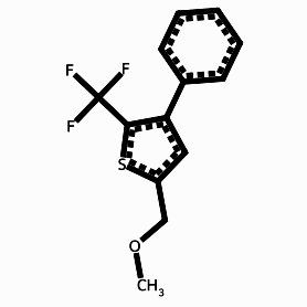 COCc1cc(-c2ccccc2)c(C(F)(F)F)s1